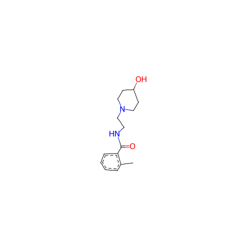 Cc1ccccc1C(=O)NCCN1CCC(O)CC1